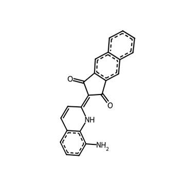 Nc1cccc2c1NC(=C1C(=O)c3cc4ccccc4cc3C1=O)C=C2